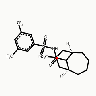 O=C(NS(=O)(=O)c1cc(C(F)(F)F)cc(C(F)(F)F)c1)C1[C@@H]2CCCC[C@H]1CN(C(=O)O)C2